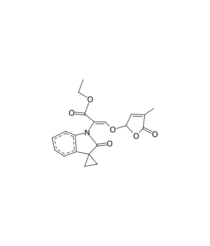 CCOC(=O)/C(=C/OC1C=C(C)C(=O)O1)N1C(=O)C2(CC2)c2ccccc21